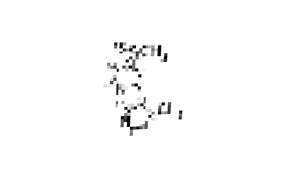 Cc1ccnc(CN2CCN(S(C)=S)CC2)c1